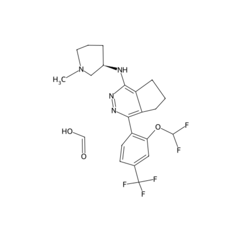 CN1CCC[C@@H](Nc2nnc(-c3ccc(C(F)(F)F)cc3OC(F)F)c3c2CCC3)C1.O=CO